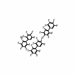 Fc1cc(-c2c(F)c(F)c(F)c(F)c2F)c(F)c(F)c1F.Fc1cc(-c2c(F)c(F)c(F)c(F)c2F)c(F)c(F)c1F.Fc1cc(-c2c(F)c(F)c(F)c(F)c2F)c(F)c(F)c1F.[Al]